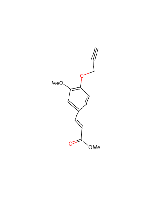 C#CCOc1ccc(/C=C/C(=O)OC)cc1OC